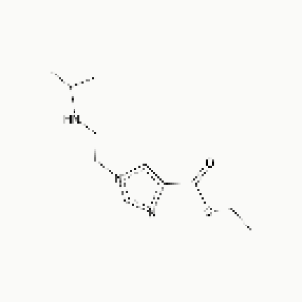 CCOC(=O)c1cn(CCNC(C)C)cn1